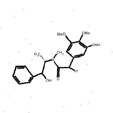 CCC(C(=O)N(C)[C@@H](C)C(O)c1ccccc1)c1cc(OC)c(OC)c(OC)c1